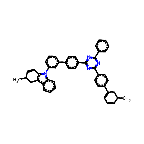 CC1C=CC=C(c2ccc(-c3nc(-c4ccccc4)nc(-c4ccc(-c5cccc(-n6c7c(c8ccccc86)CC(C)C=C7)c5)cc4)n3)cc2)C1